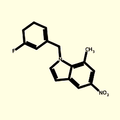 Cc1cc([N+](=O)[O-])cc2ccn(CC3=CCCC(F)=C3)c12